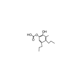 CCCc1cc(OC(=O)O)c(O)c(C)c1CCC